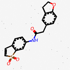 O=C(Cc1ccc2c(c1)CCO2)Nc1ccc2c(c1)S(=O)(=O)C=C2